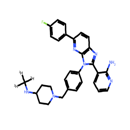 [2H]C([2H])([2H])NC1CCN(Cc2ccc(-n3c(-c4cccnc4N)nc4ccc(-c5ccc(F)cc5)nc43)cc2)CC1